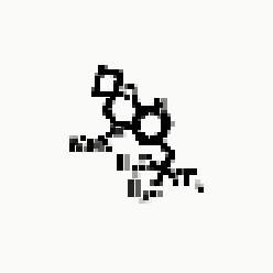 CN[C@H]1CC2(CCC2)Oc2ncc(CC(C)(C)C(F)(F)F)cc21